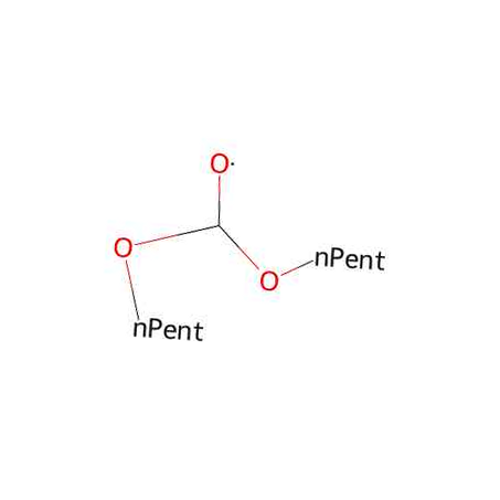 CCCCCOC([O])OCCCCC